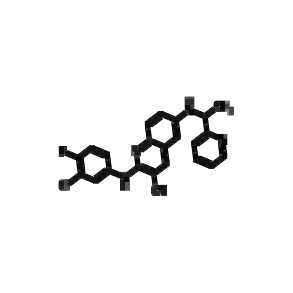 CC(Nc1ccc2nc(Nc3ccc(F)c(Cl)c3)c(C#N)cc2c1)c1ccccn1